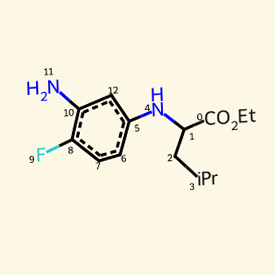 CCOC(=O)C(CC(C)C)Nc1ccc(F)c(N)c1